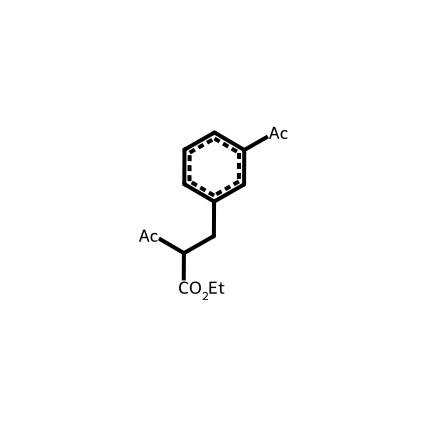 CCOC(=O)C(Cc1cccc(C(C)=O)c1)C(C)=O